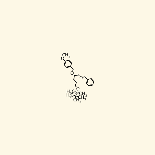 COc1ccc(CO[C@H](CCCO[Si](C)(C)C(C)(C)C)COCc2ccccc2)cc1